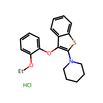 CCOc1ccccc1Oc1c(N2CCCCC2)sc2ccccc12.Cl